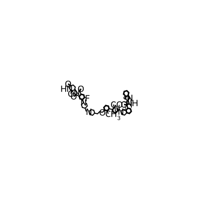 Cc1c(OCCC2CCN(CC3CCN(c4cc5c(cc4F)C(=O)N(C4CCC(=O)NC4=O)C5=O)CC3)CC2)cccc1-c1ccc(N2CCc3cccc(C(=O)Nc4nc5ccccc5s4)c3C2)nc1C(=O)O